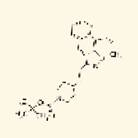 C/C=C\c1c2ccccc2cc2c(CCC3CCN(C(=O)OC(C)(C)C)CC3)noc12